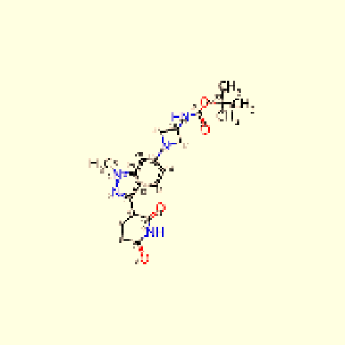 Cn1nc(C2CCC(=O)NC2=O)c2ccc(N3CC(NC(=O)OC(C)(C)C)C3)cc21